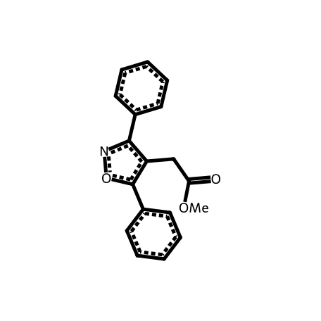 COC(=O)Cc1c(-c2ccccc2)noc1-c1ccccc1